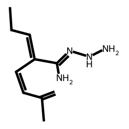 C=C(C)\C=C/C(=C\CC)C(/N)=N/NN